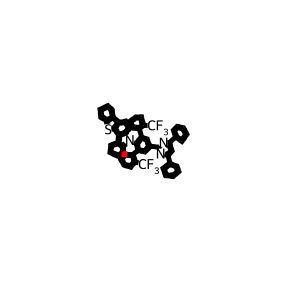 FC(F)(F)c1ccccc1-c1cc(-c2nc(-c3ccccc3)cc(-c3ccccc3)n2)cc(-c2ccccc2C(F)(F)F)c1-n1c2ccccc2c2c3sc4ccccc4c3ccc21